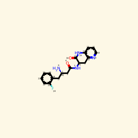 N[C@@H](CC(=O)NC1Cc2ncccc2NC1=O)Cc1ccccc1F